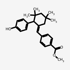 COC(=O)c1ccc(C=C2CC(C)(C)CC(C)(C)C2c2ccc(O)cc2)cc1